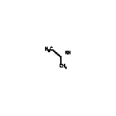 CCC.[KH]